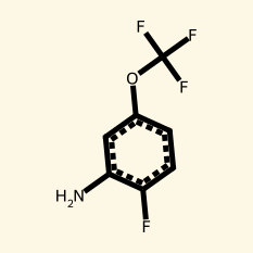 Nc1cc(OC(F)(F)F)ccc1F